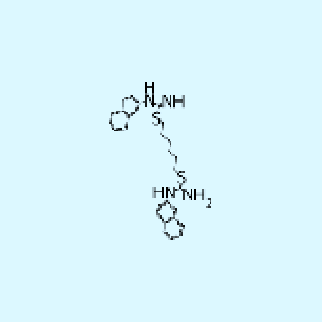 N=C(Nc1ccc2ccccc2c1)SCCCCCCSC(N)Nc1ccc2ccccc2c1